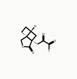 O=C(I)C(=O)C[C@@]12C[C@H]3CC[C@]31COC2=O